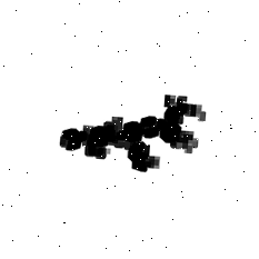 CC(C)c1ccc(C2=C(CN3CCN(c4ccc(C(=O)NS(=O)(=O)c5ccc(NCC6CCOCC6)c([N+](=O)[O-])c5)c(Oc5cnc6[nH]ccc6c5)c4)CC3)CCC(C)(C)C2)s1